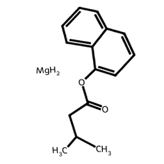 CC(C)CC(=O)Oc1cccc2ccccc12.[MgH2]